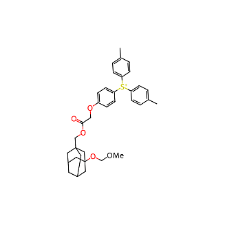 COCOC12CC3CC(CC(COC(=O)COc4ccc([S+](c5ccc(C)cc5)c5ccc(C)cc5)cc4)(C3)C1)C2